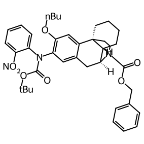 CCCCOc1cc2c(cc1N(C(=O)OC(C)(C)C)c1ccccc1[N+](=O)[O-])C[C@H]1[C@H]3CCCC[C@@]23CCN1C(=O)OCc1ccccc1